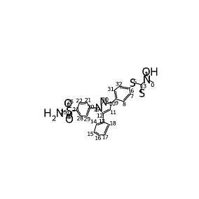 CN(O)C(=S)Sc1ccc(-c2cc(-c3ccccc3)n(-c3ccc(S(N)(=O)=O)cc3)n2)cc1